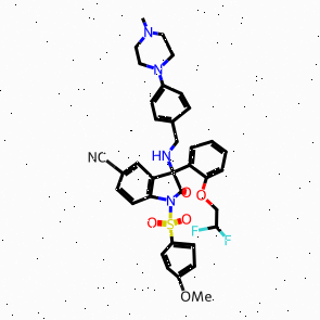 COc1ccc(S(=O)(=O)N2C(=O)C(NCc3ccc(N4CCN(C)CC4)cc3)(c3ccccc3OCC(F)F)c3cc(C#N)ccc32)cc1